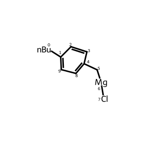 CCCCc1ccc([CH2][Mg][Cl])cc1